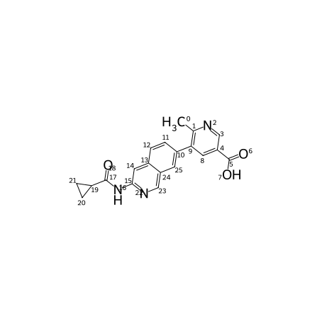 Cc1ncc(C(=O)O)cc1-c1ccc2cc(NC(=O)C3CC3)ncc2c1